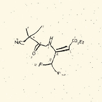 CCOC(=O)/C=C(\NC(=O)C(C)(C)C#N)C(F)F